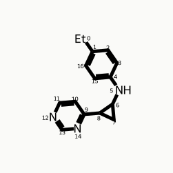 CCc1ccc(NC2CC2c2ccncn2)cc1